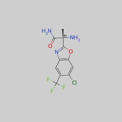 C[C@](N)(C(N)=O)c1nc2cc(C(F)(F)F)c(Cl)cc2o1